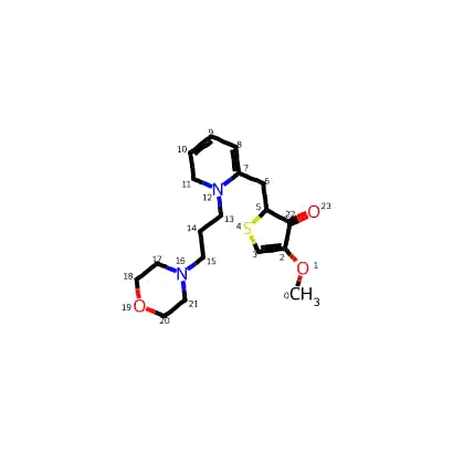 COC1=CSC(CC2=CC=CCN2CCCN2CCOCC2)C1=O